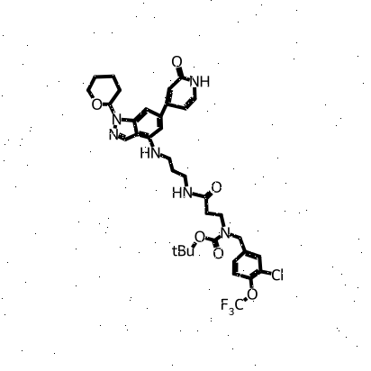 CC(C)(C)OC(=O)N(CCC(=O)NCCCNc1cc(-c2cc[nH]c(=O)c2)cc2c1cnn2C1CCCCO1)Cc1ccc(OC(F)(F)F)c(Cl)c1